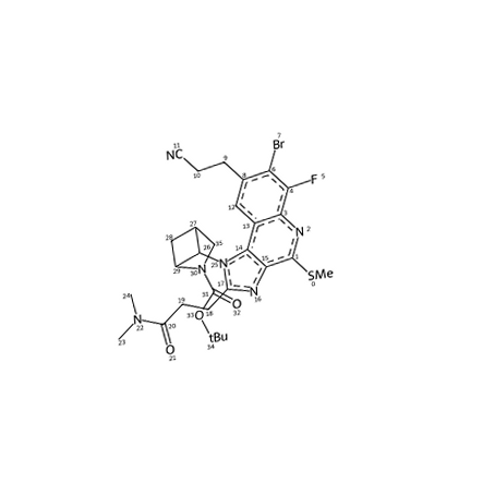 CSc1nc2c(F)c(Br)c(CCC#N)cc2c2c1nc(CCC(=O)N(C)C)n2C1C2CC1N(C(=O)OC(C)(C)C)C2